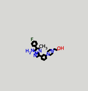 Cc1nc2c(-c3cccc(N4CCN(CCO)CC4)c3)cnn2c(N)c1-c1ccc(F)cc1